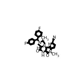 C[C@@H]1CN2c3c(c(=O)n(C)c4ccc(C#N)nc34)NC(=O)[C@H]2CN1C(c1ccc(F)cc1)c1ccc(F)cc1